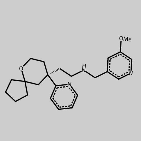 COc1cncc(CNCC[C@@]2(c3ccccn3)CCOC3(CCCC3)C2)c1